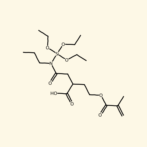 C=C(C)C(=O)OCCC(CC(=O)N(CCC)[Si](OCC)(OCC)OCC)C(=O)O